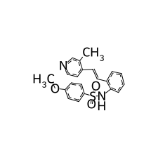 COc1ccc(S(=O)(=O)Nc2ccccc2/C=C/c2ccncc2C)cc1